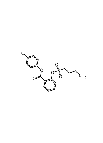 CCCCS(=O)(=O)Oc1ccccc1C(=O)Oc1ccc(C)cc1